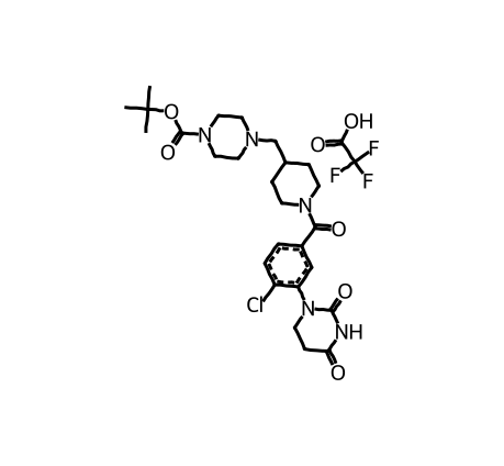 CC(C)(C)OC(=O)N1CCN(CC2CCN(C(=O)c3ccc(Cl)c(N4CCC(=O)NC4=O)c3)CC2)CC1.O=C(O)C(F)(F)F